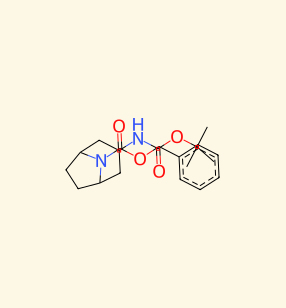 CC(C)(C)OC(=O)NC1CC2CCC(C1)N2C(=O)OCc1ccccc1